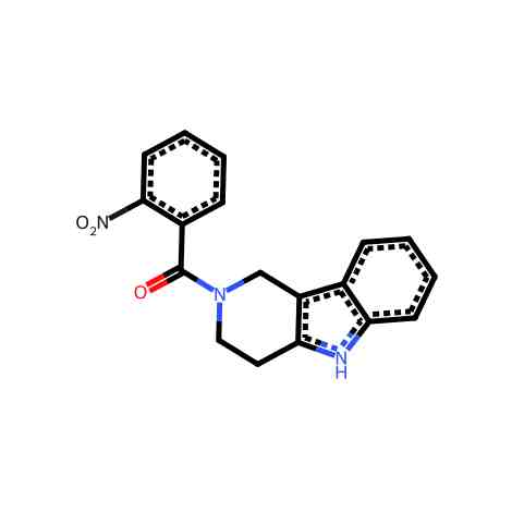 O=C(c1ccccc1[N+](=O)[O-])N1CCc2[nH]c3ccccc3c2C1